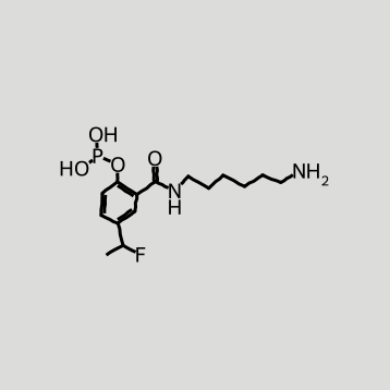 CC(F)c1ccc(OP(O)O)c(C(=O)NCCCCCCN)c1